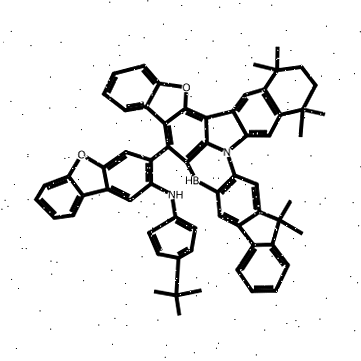 CC(C)(C)c1ccc(Nc2cc3c(cc2-c2c4c5c(c6cc7c(cc6n5-c5cc6c(cc5B4)-c4ccccc4C6(C)C)C(C)(C)CCC7(C)C)c4oc5ccccc5c24)oc2ccccc23)cc1